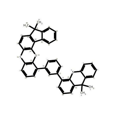 CC1(C)c2ccccc2Sc2c(-c3cccc(-c4cccc5c4Sc4c(ccc6c4-c4ccccc4C6(C)C)S5)c3)cccc21